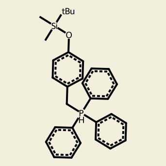 CC(C)(C)[Si](C)(C)Oc1ccc(C[PH](c2ccccc2)(c2ccccc2)c2ccccc2)cc1